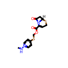 CN[n+]1ccc(SCOC(=O)C2=CCS[C@H]3CC(=O)N23)cc1